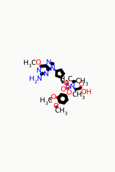 COc1ccc(OP(=O)(OC[C@@H]2C=C[C@H](n3cnc4c(OC)nc(N)nc43)C2)N(C(C)C)[C@@H](C)C(=O)O)cc1OC